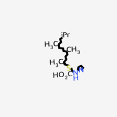 CC(=CCSCC(NC1=NCCC1)C(=O)O)CCCC(C)CCCC(C)CCCC(C)C